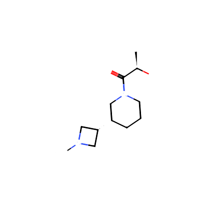 C[C@@H](O)C(=O)N1CCC[C@H](C2CN(C(=O)O)C2)C1